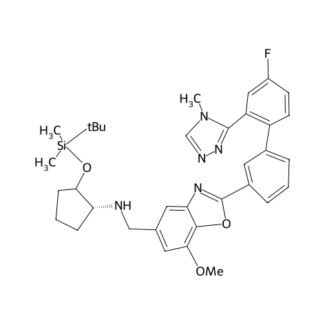 COc1cc(CN[C@@H]2CCCC2O[Si](C)(C)C(C)(C)C)cc2nc(-c3cccc(-c4ccc(F)cc4-c4nncn4C)c3)oc12